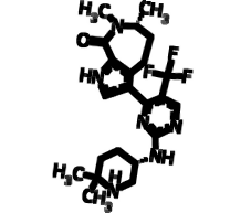 C[C@@H]1CCc2c(-c3nc(N[C@H]4CCC(C)(C)NC4)ncc3C(F)(F)F)c[nH]c2C(=O)N1C